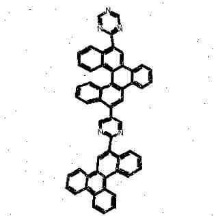 c1ccc2c(c1)c(-c1ncc(-c3cc4c5ccccc5c5cc(-c6ncncn6)c6ccccc6c5c4c4ccccc34)cn1)cc1c3ccccc3c3ccccc3c21